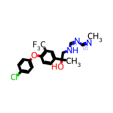 C/N=C\N=C/NCC(C)(O)c1ccc(Oc2ccc(Cl)cc2)c(C(F)(F)F)c1